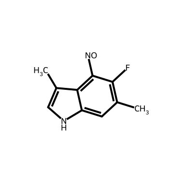 Cc1cc2[nH]cc(C)c2c(N=O)c1F